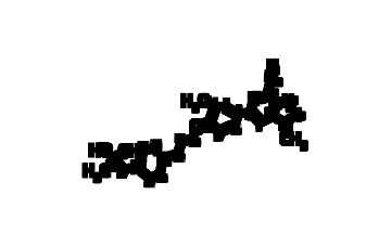 Cc1cc(-c2cc3c(nnn3C)c(C#N)n2)ccc1OCCCN1CCN(CC(C)(C)O)CC1